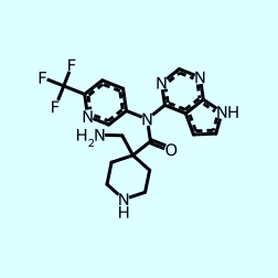 NCC1(C(=O)N(c2ccc(C(F)(F)F)nc2)c2ncnc3[nH]ccc23)CCNCC1